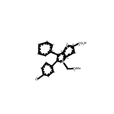 COCn1c(-c2ccc(Cl)cc2)c(-c2ccccc2)c2sc(C(=O)O)cc21